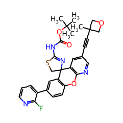 CC1(C#Cc2cnc3c(c2)C2(CSC(NC(=O)OC(C)(C)C)=N2)c2cc(-c4cccnc4F)ccc2O3)COC1